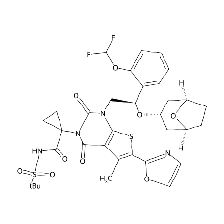 Cc1c(-c2ncco2)sc2c1c(=O)n(C1(C(=O)NS(=O)(=O)C(C)(C)C)CC1)c(=O)n2C[C@H](O[C@@H]1C[C@H]2CC[C@@H](C1)O2)c1ccccc1OC(F)F